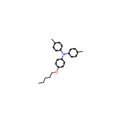 CCCCCOc1ccc(N(c2ccc(C)cc2)c2ccc(C)cc2)cc1